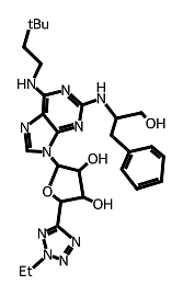 CCn1nnc(C2OC(n3cnc4c(NCCC(C)(C)C)nc(NC(CO)Cc5ccccc5)nc43)C(O)C2O)n1